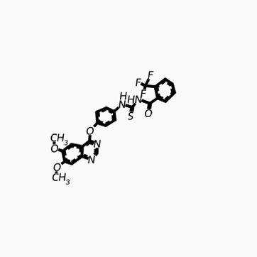 COc1cc2ncnc(Oc3ccc(NC(=S)NC(=O)c4ccccc4C(F)(F)F)cc3)c2cc1OC